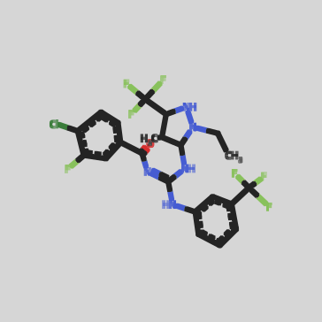 CCN1NC(C(F)(F)F)C(C)C1N/C(=N\C(=O)c1ccc(Cl)c(F)c1)Nc1cccc(C(F)(F)F)c1